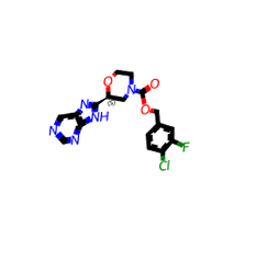 O=C(OCc1ccc(Cl)c(F)c1)N1CCO[C@H](c2nc3cncnc3[nH]2)C1